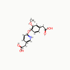 COc1cc(CC(=O)O)ccc1Oc1ccc(CC(=O)O)cn1